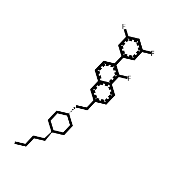 CCCC[C@H]1CC[C@H](CCc2ccc3c(F)c(-c4cc(F)cc(F)c4)ccc3c2)CC1